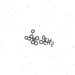 CC1(C)c2ccccc2-c2c(-c3cccc(N(c4cccc(-c5ccccc5)c4)c4ccccc4-c4ccc5ccccc5c4)c3-c3ccccc3)cccc21